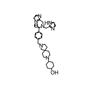 O=C(c1ccc(CN2CCC3(CCN(C4CCC(O)CC4)CC3)C2)cc1)N(Cc1ncc[nH]1)Cc1ncc[nH]1